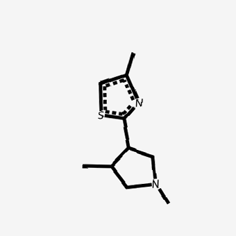 Cc1csc(C2CN(C)CC2C)n1